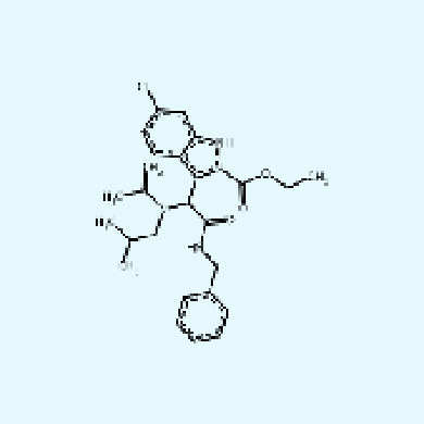 C=C(C)N(CC(C)C)C(C(=O)NCc1ccccc1)c1c(C(=O)OCC)[nH]c2cc(Cl)ccc12